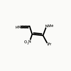 CN/C(=C(\C=N)[N+](=O)[O-])C(C)C